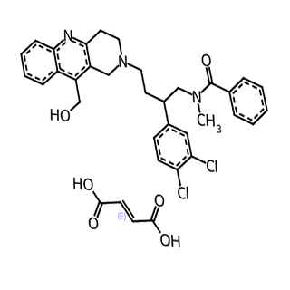 CN(CC(CCN1CCc2nc3ccccc3c(CO)c2C1)c1ccc(Cl)c(Cl)c1)C(=O)c1ccccc1.O=C(O)/C=C/C(=O)O